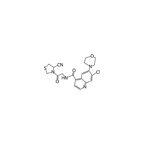 N#CC1CSCN1C(=O)CNC(=O)c1ccnc2cc(Cl)c(N3CCOCC3)cc12